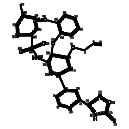 C=CCOc1nc(-c2ccnc(-c3noc(=S)[nH]3)c2)nc(NS(=O)(=O)c2ccc(C)cn2)c1Oc1ccccc1OC